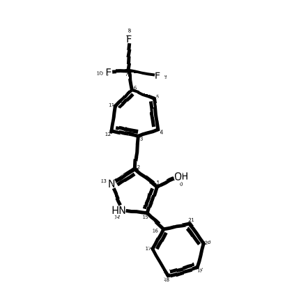 Oc1c(-c2ccc(C(F)(F)F)cc2)n[nH]c1-c1ccccc1